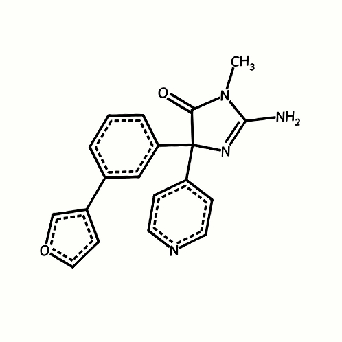 CN1C(=O)C(c2ccncc2)(c2cccc(-c3ccoc3)c2)N=C1N